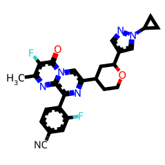 Cc1nc2c(-c3ccc(C#N)cc3F)nc(C3CCOC(c4cnn(C5CC5)c4)C3)cn2c(=O)c1F